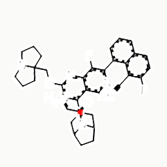 C#Cc1c(F)ccc2cccc(-c3ncc4c(N5CC6CCC(C5)N6C(=O)C=C)nc(OCC56CCCN5CCC6)nc4c3F)c12